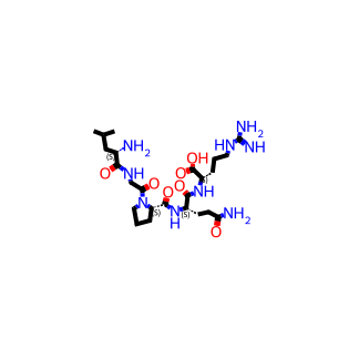 CC(C)C[C@H](N)C(=O)NCC(=O)N1CCC[C@H]1C(=O)N[C@@H](CCC(N)=O)C(=O)N[C@@H](CCCNC(=N)N)C(=O)O